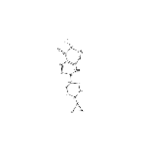 CN(C)C(=O)C1=C(Cl)NC(N2CCC(C3CC3)CC2)C=C1